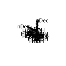 CCCCCCCCCCCCCCCCC[C@@H](O)[C@H](COP(=O)(O)O[C@H]1C(O)C(O)C(O)[C@@H](O)C1O[C@H]1O[C@H](COP(=O)(O)OC2C(O)C(O)C(O)[C@@H](O)C2O)[C@@H](O)C(O)C1O)NC(=O)C(O)CCCCCCCCCCCCCC